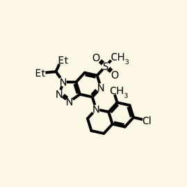 CCC(CC)n1nnc2c(N3CCCc4cc(Cl)cc(C)c43)nc(S(C)(=O)=O)cc21